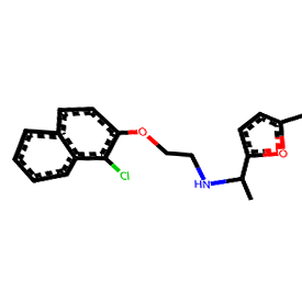 Cc1ccc(C(C)NCCOc2ccc3ccccc3c2Cl)o1